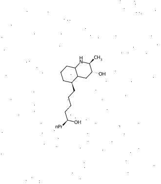 CCC[C@H](O)CCCC[C@H]1CCCC2N[C@@H](C)[C@H](O)CC21